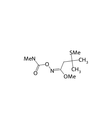 CNC(=O)ON=C(CC(C)(C)SC)OC